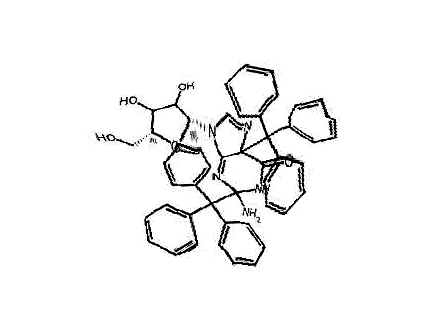 NC1(C(c2ccccc2)(c2ccccc2)c2ccccc2)N=C2N([C@@H]3O[C@H](CO)C(O)C3O)C=NC2(C(c2ccccc2)(c2ccccc2)c2ccccc2)C(=O)N1